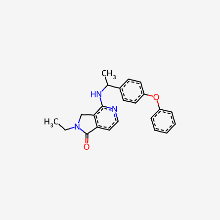 CCN1Cc2c(ccnc2NC(C)c2ccc(Oc3ccccc3)cc2)C1=O